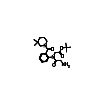 CC1(C)CCCN(C(=O)c2ccccc2N(CC(=O)OC(C)(C)C)C(=O)CN)C1